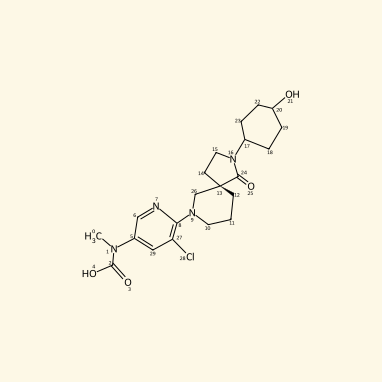 CN(C(=O)O)c1cnc(N2CCC[C@]3(CCN(C4CCC(O)CC4)C3=O)C2)c(Cl)c1